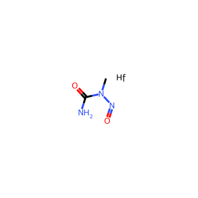 CN(N=O)C(N)=O.[Hf]